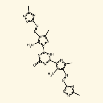 Cc1nsc(N=Nc2c(C)nn(-c3nc(=O)nc(-n4nc(C)c(N=Nc5nc(C)ns5)c4N)[nH]3)c2N)n1